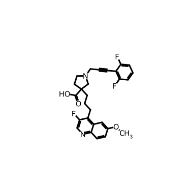 COc1ccc2ncc(F)c(CCCC3(C(=O)O)CCN(CC#Cc4c(F)cccc4F)C3)c2c1